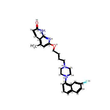 Cc1cc(OCCCCN2CCN(c3cccc4ccc(F)cc34)CC2)nc2[nH]c(=O)ccc12